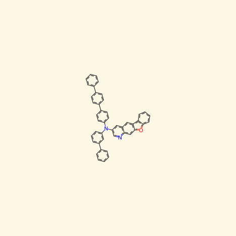 c1ccc(-c2ccc(-c3ccc(N(c4cccc(-c5ccccc5)c4)c4cnc5cc6oc7ccccc7c6cc5c4)cc3)cc2)cc1